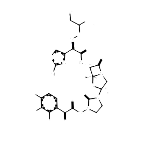 Nc1nc(/C(=N/OC(CO)C(=O)O)C(=O)N[C@@H]2C(=O)N3C[C@@](C(=O)O)(N4CCN(NC(=O)C(=O)c5ccc(O)c(O)c5Cl)C4=O)S[C@H]23)cs1